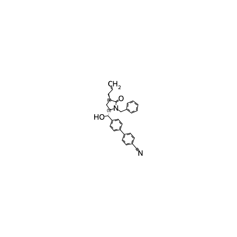 C=CC[C@@H]1C[C@@H](C(O)c2ccc(-c3ccc(C#N)cc3)cc2)N(Cc2ccccc2)C1=O